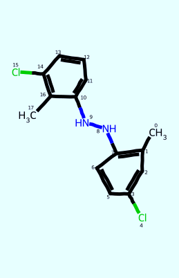 Cc1cc(Cl)ccc1NNc1cccc(Cl)c1C